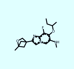 CCC(C)Oc1c(NC)cn2cc(C34COC(C)(C3)C4)nc2c1F